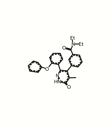 CCN(CC)C(=O)c1cccc(-c2c(-c3ccccc3Oc3ccccc3)n[nH]c(=O)c2C)c1